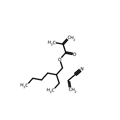 C=C(C)C(=O)OCC(CC)CCCC.C=CC#N